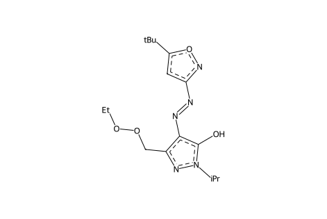 CCOOCc1nn(C(C)C)c(O)c1/N=N/c1cc(C(C)(C)C)on1